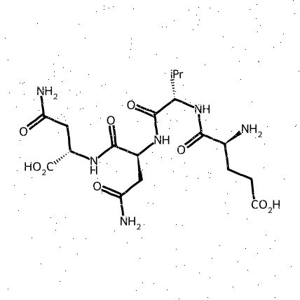 CC(C)[C@H](NC(=O)[C@@H](N)CCC(=O)O)C(=O)N[C@@H](CC(N)=O)C(=O)N[C@@H](CC(N)=O)C(=O)O